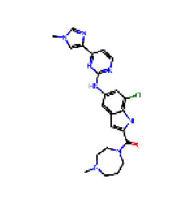 CN1CCCN(C(=O)c2cc3cc(Nc4nccc(-c5cn(C)cn5)n4)cc(Cl)c3[nH]2)CC1